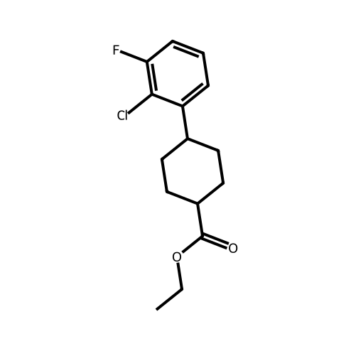 CCOC(=O)C1CCC(c2cccc(F)c2Cl)CC1